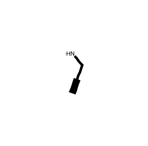 C#CC[NH]